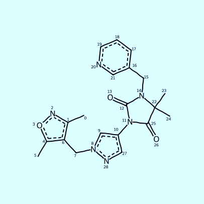 Cc1noc(C)c1Cn1cc(N2C(=O)N(Cc3cccnc3)C(C)(C)C2=O)cn1